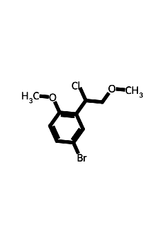 COCC(Cl)c1cc(Br)ccc1OC